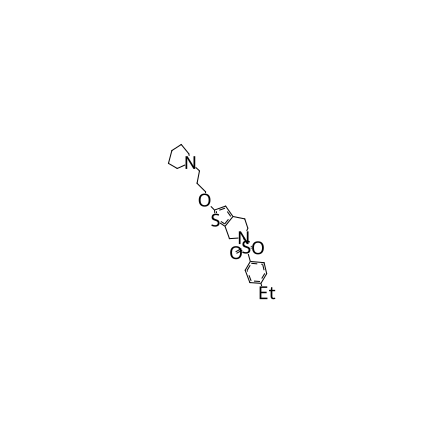 CCc1ccc(S(=O)(=O)N2CCc3cc(OCCCN4CCCCC4)sc3C2)cc1